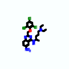 CCN(CC)CCCC(C)Nc1nc(COc2c(Cl)cc(Cl)cc2Cl)nc2ccc(N)cc12